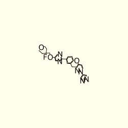 Cn1cc(-n2ccc(=O)c(Cc3cccc(-c4ncc(OCC5(F)CCOCC5)cn4)c3)n2)cn1